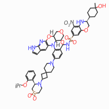 CC(C)Oc1ccccc1[C@@H]1CS(=O)(=O)CCN1C1CC2(CCN(c3ccc(C(=O)NS(=O)(=O)c4cc5c(c([N+](=O)[O-])c4)N[C@@H](C4CCC(C)(O)CC4)CO5)c(N4c5cc6cc[nH]c6nc5O[C@H]5COCC[C@@H]54)c3)CC2)C1